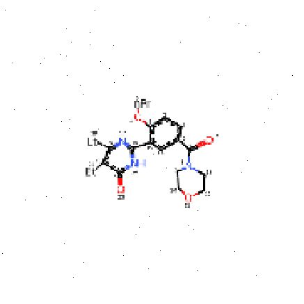 CCCOc1ccc(C(=O)N2CCOCC2)cc1-c1nc(CC)c(CC)c(=O)[nH]1